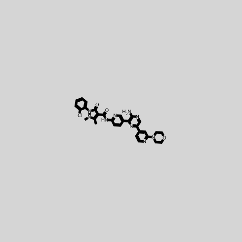 Cc1c(C(=O)Nc2ccc(-c3nc(-c4ccnc(N5CCOCC5)c4)cnc3N)cn2)c(=O)n(-c2ccccc2Cl)n1C